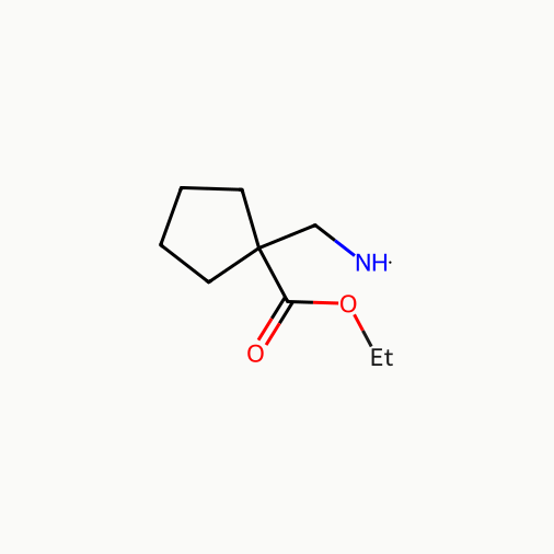 CCOC(=O)C1(C[NH])CCCC1